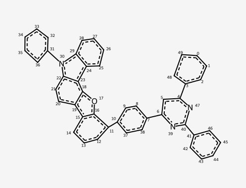 c1ccc(-c2cc(-c3ccc(-c4cccc5c4oc4c5ccc5c4c4ccccc4n5-c4ccccc4)cc3)nc(-c3ccccc3)n2)cc1